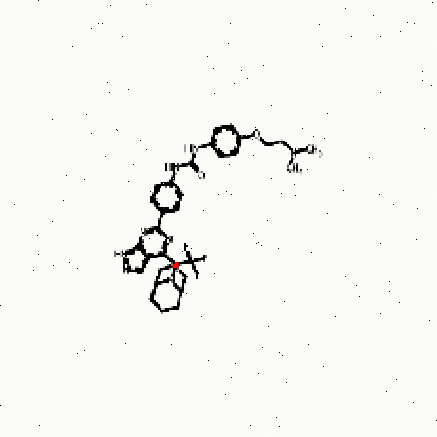 CN(C)CCOc1ccc(NC(=O)Nc2ccc(-c3nc(C(N4C5CCCC4COC5)C(F)(F)F)c4cn[nH]c4n3)cc2)cc1